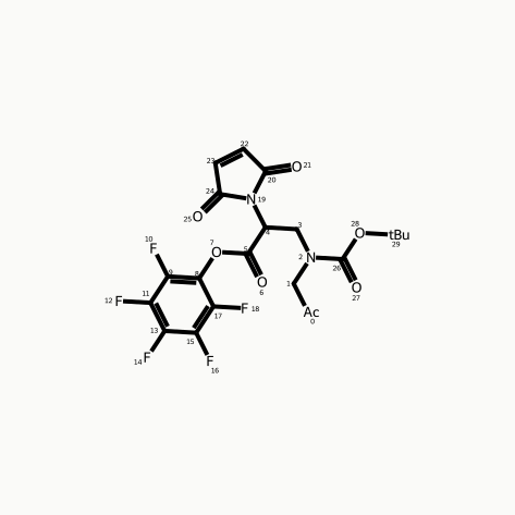 CC(=O)CN(CC(C(=O)Oc1c(F)c(F)c(F)c(F)c1F)N1C(=O)C=CC1=O)C(=O)OC(C)(C)C